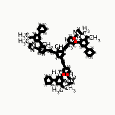 Cc1c(C#Cc2ccc(-c3nccn3-c3c(C(C)C)cc(-c4ccccc4)cc3C(C)C)cc2)cc(C#Cc2ccc(-c3nccn3-c3c(C(C)C)cc(-c4ccccc4)cc3C(C)C)cc2)cc1C#Cc1ccc(-c2nccn2-c2c(C(C)C)cc(-c3ccccc3)cc2C(C)C)cc1